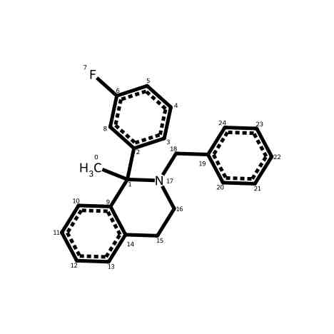 CC1(c2cccc(F)c2)c2ccccc2CCN1Cc1ccccc1